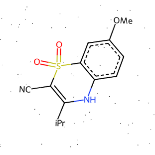 COc1ccc2c(c1)S(=O)(=O)C(C#N)=C(C(C)C)N2